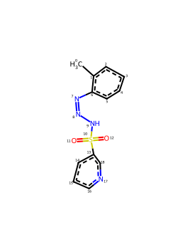 Cc1ccccc1/N=N\NS(=O)(=O)c1cccnc1